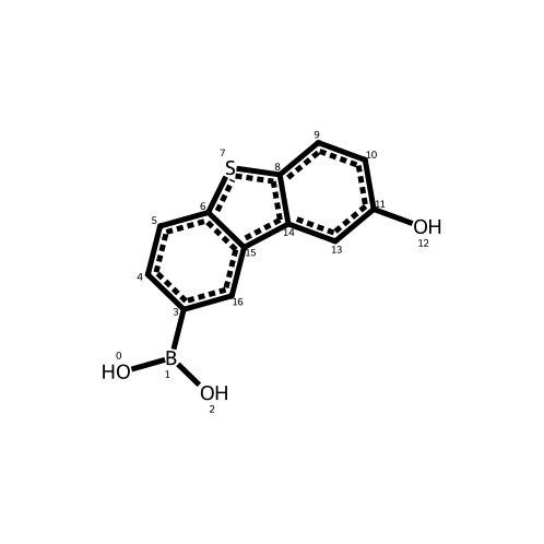 OB(O)c1ccc2sc3ccc(O)cc3c2c1